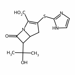 CC(C)(O)C1C(=O)N2C(C(=O)O)=C(Sc3ncc[nH]3)CC12